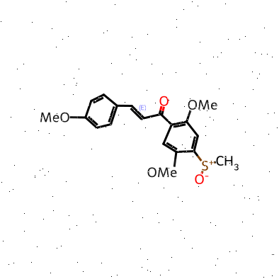 COc1ccc(/C=C/C(=O)c2cc(OC)c([S+](C)[O-])cc2OC)cc1